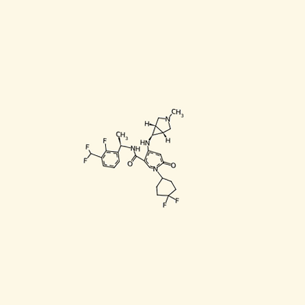 C[C@@H](NC(=O)c1cn(C2CCC(F)(F)CC2)c(=O)cc1N[C@H]1[C@@H]2CN(C)C[C@@H]21)c1cccc(C(F)F)c1F